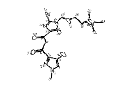 Cn1cc(Cl)c(C(=O)CC(=O)c2nc(Br)n(COCC[Si](C)(C)C)n2)n1